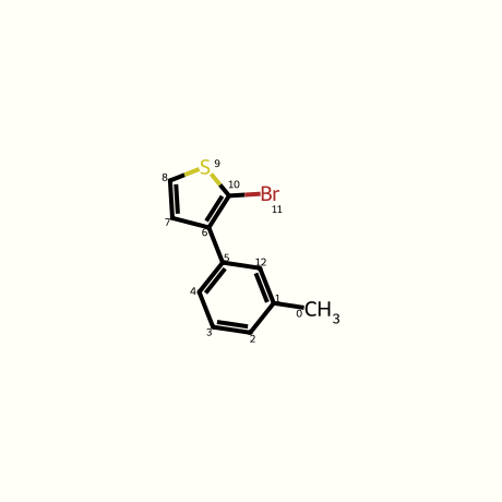 Cc1cccc(-c2ccsc2Br)c1